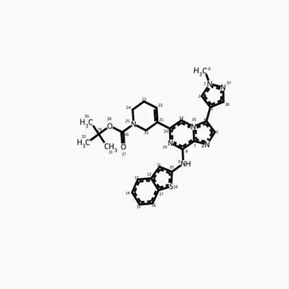 Cn1cc(-c2cnc3c(Nc4cc5ccccc5s4)nc(C4=CCCN(C(=O)OC(C)(C)C)C4)cn23)cn1